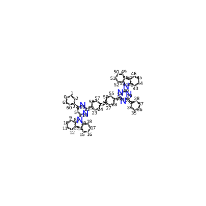 c1ccc(-c2cc(-n3c4ccccc4c4ccccc43)nc(-c3ccc(-c4ccc(-c5nc(-c6ccccc6)nc(-n6c7ccccc7c7ccccc76)n5)cc4)cc3)n2)cc1